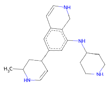 CC1CC(c2cc3c(c(NC4CCNCC4)c2)CNC=C3)C=CN1